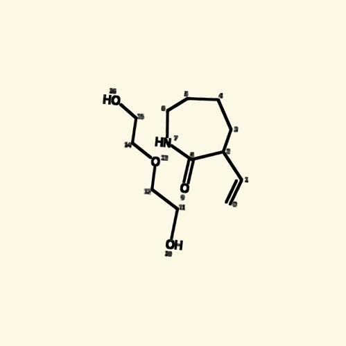 C=CC1CCCCNC1=O.OCCOCCO